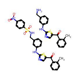 Cc1ccccc1C(=O)c1cnc(Nc2cccc(CN)c2)s1.Cc1ccccc1C(=O)c1cnc(Nc2cccc(CNS(=O)(=O)c3ccc([N+](=O)[O-])cc3)c2)s1